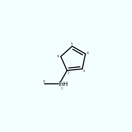 [CH3][InH][C]1=CC=CC1